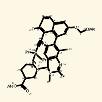 COCOc1cc(-c2c(F)cc3c(c2F)N=C(F)N(C)C3N2CCCC(C(=O)OC)C2)c2c(C#C[Si](C(C)C)(C(C)C)C(C)C)c(F)ccc2c1